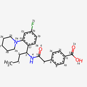 CCCC(NC(=O)Cc1ccc(C(=O)O)cc1)c1ccc(F)cc1N1CCCCC1